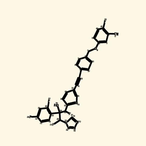 N#Cc1cc(OCc2ccc(C#Cc3ccc(C(F)C(O)(c4ccc(F)cc4F)C(F)n4cnnn4)nc3)cc2)ccc1F